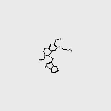 CCOc1cc2c(cc1OC)CCN(C=O)[C@@H]2Cc1c[nH]c2ccccc12